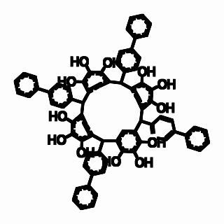 C=C(/C=C\C(=C/C)c1ccccc1)C1c2cc(c(O)c(O)c2O)C(c2ccc(-c3ccccc3)cc2)c2cc(c(O)c(O)c2O)C(c2ccc(-c3ccccc3)cc2)c2cc(c(O)c(O)c2O)C(c2ccc(-c3ccccc3)cc2)c2cc1c(O)c(O)c2O